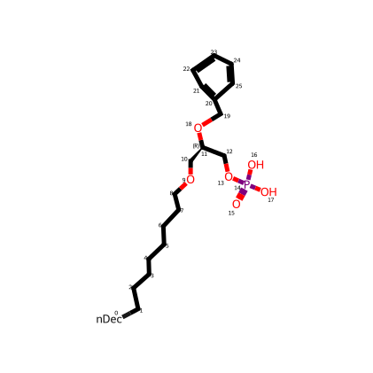 CCCCCCCCCCCCCCCCCCOC[C@H](COP(=O)(O)O)OCc1ccccc1